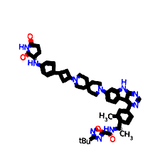 Cc1cc(-c2ncnc3[nH]c4cc(N5CCC6(CC5)CCN(C5CC(c7ccc(N[C@@H]8CCC(=O)NC8=O)cc7)C5)CC6)ccc4c23)ccc1[C@@H](C)NC(=O)c1nc(C(C)(C)C)no1